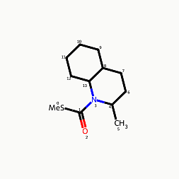 CSC(=O)N1C(C)CCC2CCCCC21